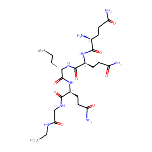 CSCC[C@H](NC(=O)[C@H](CCC(N)=O)NC(=O)[C@@H](N)CCC(N)=O)C(=O)N[C@@H](CCC(N)=O)C(=O)NCC(=O)NCC(=O)O